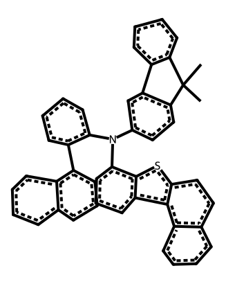 CC1(C)c2ccccc2-c2cc(N(c3ccccc3-c3cccc4ccccc34)c3cccc4c3sc3ccc5ccccc5c34)ccc21